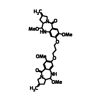 C=C1CC2C(OC)Nc3cc(OCCCOc4cc5c(cc4OC)C(=O)N4CC(=C)CC4C(OC)N5)c(OC)cc3C(=O)N2C1